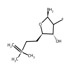 B[C@@H]1O[C@H](CCP(=C)(C)C)[C@@H](O)C1F